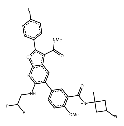 CCC1CC(C)(NC(=O)c2cc(-c3cc4c(C(=O)NC)c(-c5ccc(F)cc5)oc4nc3NCC(F)F)ccc2OC)C1